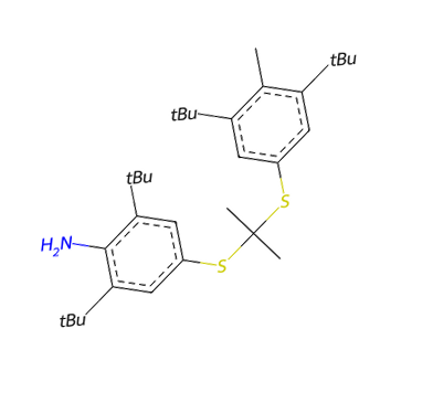 Cc1c(C(C)(C)C)cc(SC(C)(C)Sc2cc(C(C)(C)C)c(N)c(C(C)(C)C)c2)cc1C(C)(C)C